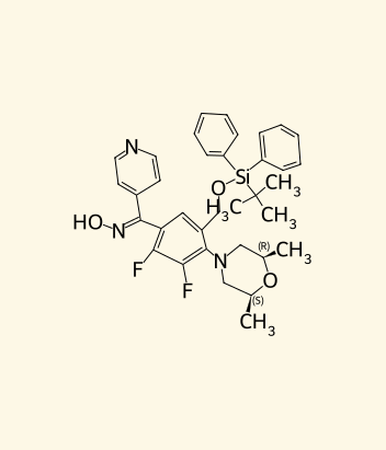 C[C@@H]1CN(c2c(CO[Si](c3ccccc3)(c3ccccc3)C(C)(C)C)cc(C(=NO)c3ccncc3)c(F)c2F)C[C@H](C)O1